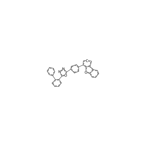 c1ccc(-c2ccccc2-c2nnc(-c3ccc(-c4cccc5c4oc4ccccc45)cc3)o2)cc1